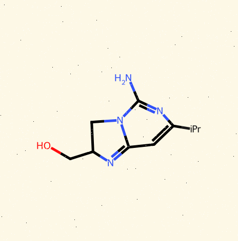 CC(C)C1=CC2=NC(CO)CN2C(N)=N1